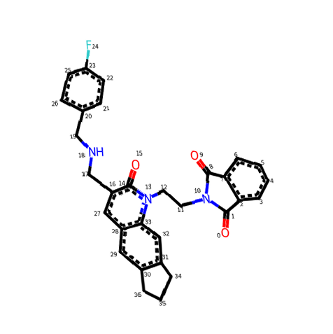 O=C1c2ccccc2C(=O)N1CCn1c(=O)c(CNCc2ccc(F)cc2)cc2cc3c(cc21)CCC3